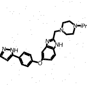 CC(C)N1CCN(Cc2nc3cc(Oc4ccc(-c5ccn[nH]5)cc4)ccc3[nH]2)CC1